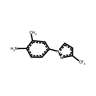 Cc1cc(-n2ccc(C(F)(F)F)n2)ccc1N